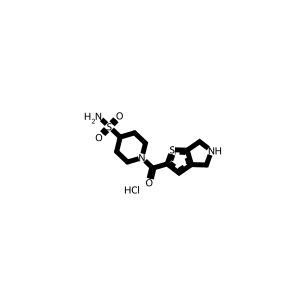 Cl.NS(=O)(=O)C1CCN(C(=O)c2cc3c(s2)CNC3)CC1